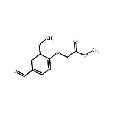 COC(=O)COC1=CC=C(C=O)CC1OC